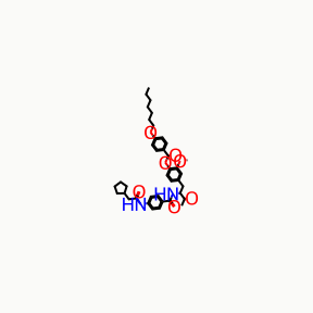 CCCCCCCOc1ccc(C(=O)Oc2ccc(CC(NC(=O)c3ccc(NC(=O)CC4CCCC4)cc3)C(C)=O)cc2OC)cc1